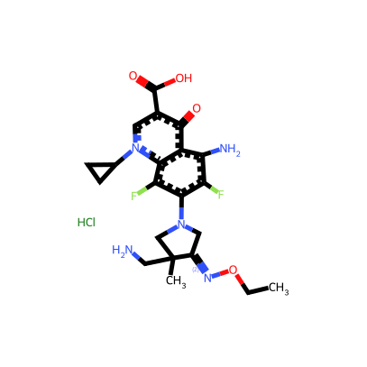 CCO/N=C1\CN(c2c(F)c(N)c3c(=O)c(C(=O)O)cn(C4CC4)c3c2F)CC1(C)CN.Cl